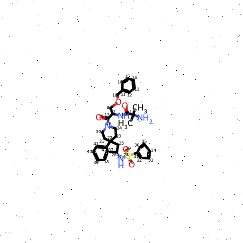 CC(C)(N)C(=O)NC(COCc1ccccc1)C(=O)N1CCC2(CC1)C[C@@H](NS(=O)(=O)c1ccccc1)c1ccccc12